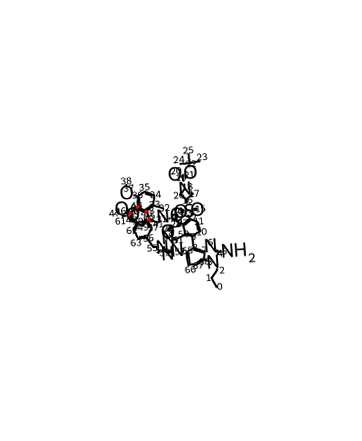 CCCn1c(N)nc2c(-c3ccc(S(=O)(=O)C4CN(C(=O)OC(C)(C)C)C4)c(S(=O)(=O)N(Cc4ccc(OC)cc4)Cc4ccc(OC)cc4)c3-c3nnn(Cc4ccc(OC)cc4)n3)cccc21